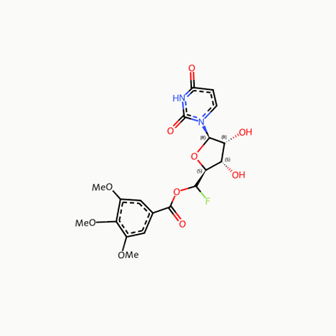 COc1cc(C(=O)OC(F)[C@H]2O[C@@H](n3ccc(=O)[nH]c3=O)[C@H](O)[C@@H]2O)cc(OC)c1OC